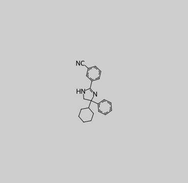 N#Cc1cccc(C2=NC(c3ccccc3)(C3CCCCC3)CN2)c1